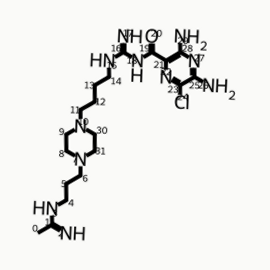 CC(=N)NCCCN1CCN(CCCCNC(=N)NC(=O)c2nc(Cl)c(N)nc2N)CC1